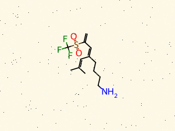 C=C(/C=C(\C=C(C)C)CCCCN)S(=O)(=O)C(F)(F)F